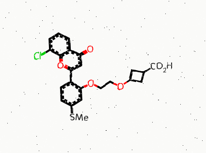 CSc1ccc(-c2cc(=O)c3cccc(Cl)c3o2)c(OCCOC2CC(C(=O)O)C2)c1